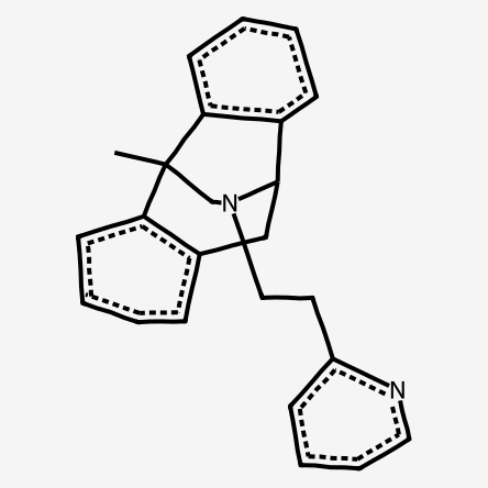 CC12CN(CCc3ccccn3)C(Cc3ccccc31)c1ccccc12